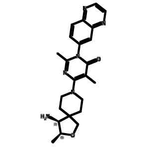 Cc1c(N2CCC3(CC2)CO[C@@H](C)[C@H]3N)nc(C)n(-c2ccc3nccnc3c2)c1=O